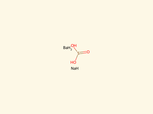 O=S(O)O.[BaH2].[NaH]